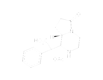 CC(=O)O[C@@](C(=O)O)(c1ccccc1)C1NCCN2C(=O)CC[C@@H]12